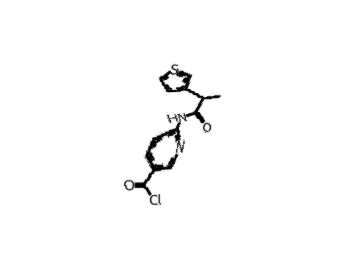 CC(C(=O)Nc1ccc(C(=O)Cl)cn1)c1ccsc1